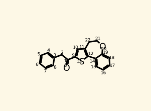 O=C(Cc1ccccc1)c1cc2c(s1)-c1ccccc1OCC2